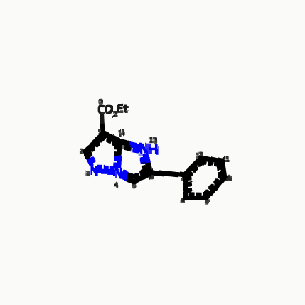 CCOC(=O)c1cnn2cc(-c3ccccc3)[nH]c12